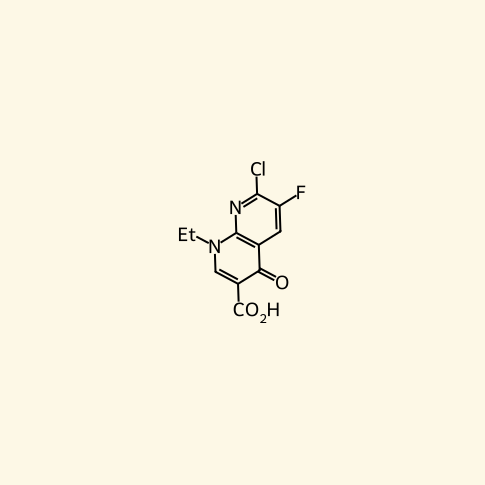 CCn1cc(C(=O)O)c(=O)c2cc(F)c(Cl)nc21